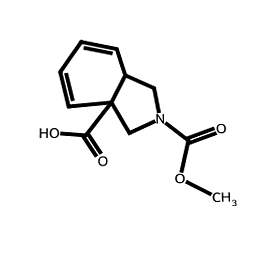 COC(=O)N1CC2C=CC=CC2(C(=O)O)C1